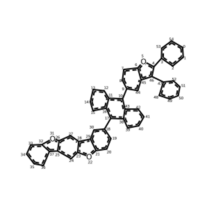 c1ccc(-c2oc3ccc(-c4c5ccccc5c(-c5ccc6oc7cc8c(cc7c6c5)oc5ccccc58)c5ccccc45)cc3c2-c2ccccc2)cc1